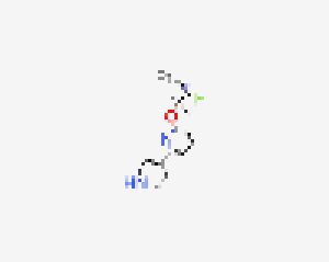 CC/C=C(/F)C(C)(C)Oc1cccc(C2=CCNCC2)n1